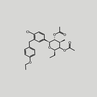 CCOc1ccc(Cc2cc([C@@H]3O[C@H](CC)C(OC(C)=O)[C@H](C)[C@H]3OC(C)=O)ccc2Cl)cc1